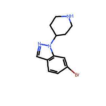 Brc1ccc2cnn(C3CCNCC3)c2c1